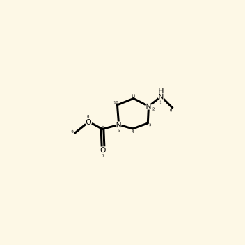 CNN1CCN(C(=O)OC)CC1